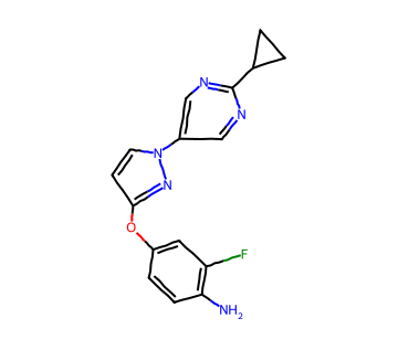 Nc1ccc(Oc2ccn(-c3cnc(C4CC4)nc3)n2)cc1F